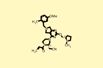 C=CC(=O)N1CCN(c2nc(OC[C@@H]3CCCN3C)nc3c2CN(Cc2cc(OC)ccc2C)C3)C[C@@H]1CC#N